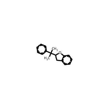 CC(C)(c1ccccc1)C1Cc2ccccc2O1